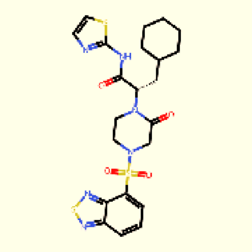 O=C(Nc1nccs1)[C@H](CC1CCCCC1)N1CCN(S(=O)(=O)c2cccc3nsnc23)CC1=O